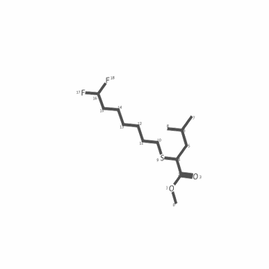 COC(=O)C(CC(C)C)SCCCCCCC(F)F